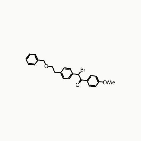 COc1ccc(C(=O)C(Br)c2ccc(CCOCc3ccccc3)cc2)cc1